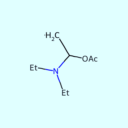 [CH2]C(OC(C)=O)N(CC)CC